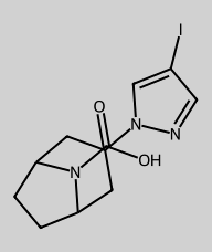 O=C(O)N1C2CCC1CC(n1cc(I)cn1)C2